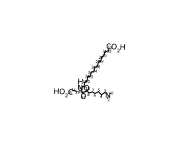 CN(C)CCCCCCCC(=O)[C@H](CCC(=O)O)NC(=O)CCCCCCCCCCCCCCC(=O)O